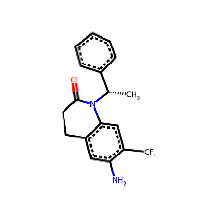 C[C@@H](c1ccccc1)N1C(=O)CCc2cc(N)c(C(F)(F)F)cc21